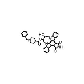 O=C1NC(=O)c2c1c1c3ccccc3n3c1c1c2c2ccccc2n1CC(OC(=O)C1CCN(Cc2ccccc2)CC1)C(O)C3